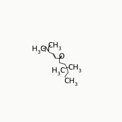 CCCC(C)(C)CCC(=O)/C=C/CN(C)C